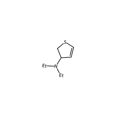 CCN(CC)C1C=CSC1